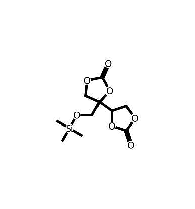 C[Si](C)(C)OCC1(C2COC(=O)O2)COC(=O)O1